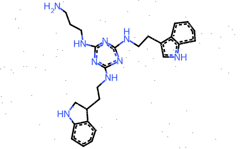 NCCCNc1nc(NCCc2c[nH]c3ccccc23)nc(NCCC2CNc3ccccc32)n1